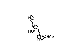 COc1ccc2nccc(CCC[C@@H]3CCN(CCSc4ncco4)C[C@@H]3CO)c2c1